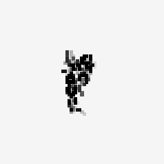 Cc1cc(Nc2nc(NC3CCOCC3)c(-c3ccnc4[nH]ccc34)nc2C(N)=O)ccc1N1CCC(N2CCN(C)CC2)CC1